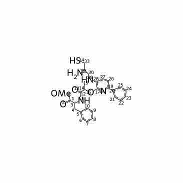 COC(=O)C(Cc1ccccc1)NC(=O)C(C)Oc1nc(-c2ccccc2)ccc1NCC(N)CS